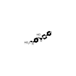 Cl.O=C(O)CNc1ccc(NC(=O)N2CCN(c3ccncc3)CC2)cc1